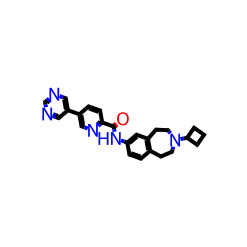 O=C(Nc1ccc2c(c1)CCN(C1CCC1)CC2)c1ccc(-c2cncnc2)cn1